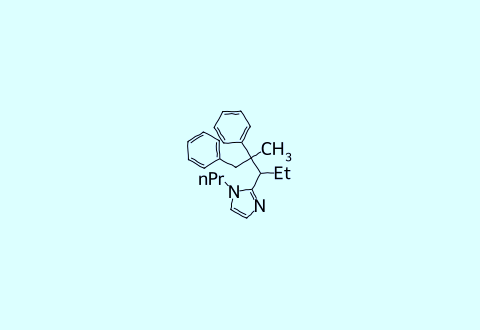 CCCn1ccnc1C(CC)C(C)(Cc1ccccc1)c1ccccc1